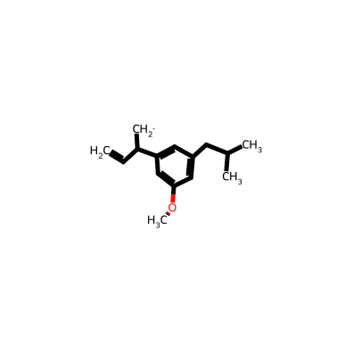 [CH2]C(C=C)c1cc(CC(C)C)cc(OC)c1